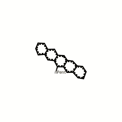 CCCCCc1c2cc3ccccc3cc2cc2cc3ccccc3cc12